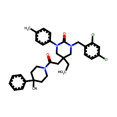 Cc1ccc(N2CC(CC(=O)O)(CC(=O)N3CCC(C#N)(c4ccccc4)CC3)CN(Cc3ccc(Cl)cc3Cl)C2=O)cc1